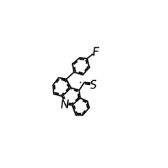 Fc1ccc(-c2cccc3nc4ccccc4c([C]=S)c23)cc1